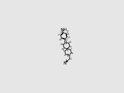 N#CCN1CCC2(CC1)CCN(c1ccc(N)cc1)CC2